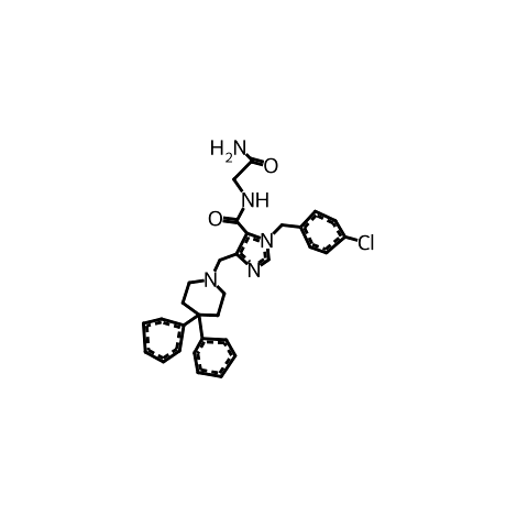 NC(=O)CNC(=O)c1c(CN2CCC(c3ccccc3)(c3ccccc3)CC2)ncn1Cc1ccc(Cl)cc1